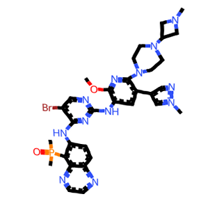 COc1nc(N2CCN(C3CN(C)C3)CC2)c(-c2cnn(C)c2)cc1Nc1ncc(Br)c(Nc2ccc3nccnc3c2P(C)(C)=O)n1